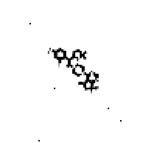 CC1CC(F)(F)c2ncnc(N3CCN(C(=O)C(c4ccc(C(F)(F)F)cc4F)C4CCC(C)(C)N4)CC3)c21